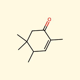 CC1=CC(C)C(C)(C)CC1=O